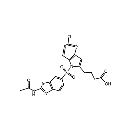 CC(=O)Nc1nc2ccc(S(=O)(=O)n3c(CCCC(=O)O)cc4nc(Cl)ccc43)cc2s1